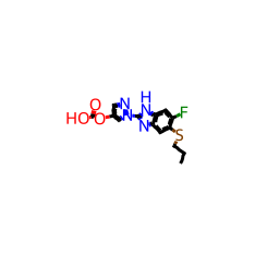 CCCSc1cc2nc(-n3cc(OC(=O)O)cn3)[nH]c2cc1F